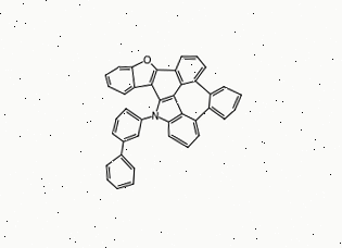 c1ccc(-c2cccc(-n3c4cccc5c4c4c6c(cccc6c6oc7ccccc7c6c43)-c3ccccc3-5)c2)cc1